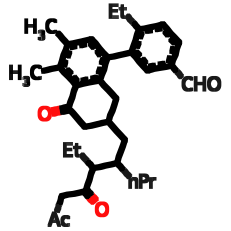 CCCC(CC1CC(=O)c2c(C)c(C)cc(-c3cc(C=O)ccc3CC)c2C1)C(CC)C(=O)CC(C)=O